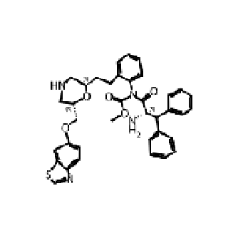 COC(=O)N(C(=O)[C@@H](N)C(c1ccccc1)c1ccccc1)c1ccccc1CC[C@@H]1CNC[C@@H](COc2ccc3ncsc3c2)O1